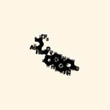 CC(=O)C(CC(C)C(F)(F)F)NC(=O)[C@H]1CC[C@H]2[C@@H]3CC[C@H]4NC(=O)C=C[C@]4(C)[C@H]3CC[C@]12C